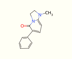 CN1CCn2c1ccc(-c1ccccc1)c2=O